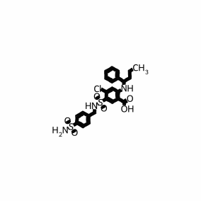 CCCC(Nc1cc(Cl)c(S(=O)(=O)NCc2ccc(S(N)(=O)=O)cc2)cc1C(=O)O)c1ccccc1